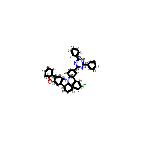 Fc1cccc(-c2cc(-c3nc(-c4ccccc4)nc(-c4ccccc4)n3)ccc2-n2c3ccccc3c3cc4oc5ccccc5c4cc32)c1